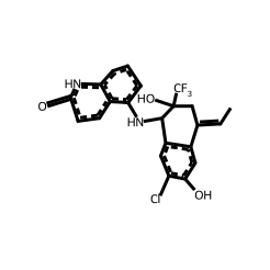 C/C=C1\CC(O)(C(F)(F)F)C(Nc2cccc3[nH]c(=O)ccc23)c2cc(Cl)c(O)cc21